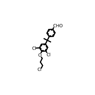 CC(C)(c1ccc(C=O)cc1)c1cc(Cl)c(OCCCCl)c(Cl)c1